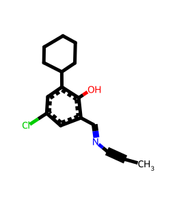 CC#CN=Cc1cc(Cl)cc(C2CCCCC2)c1O